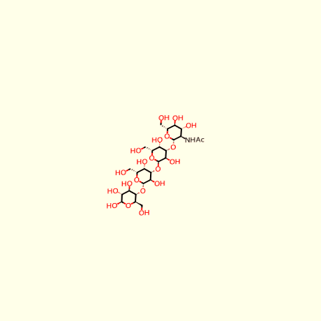 CC(=O)N[C@H]1[C@H](O[C@H]2[C@@H](O)[C@@H](CO)O[C@H](O[C@H]3[C@@H](O)[C@@H](CO)O[C@@H](O[C@H]4[C@H](O)[C@@H](O)[C@H](O)O[C@@H]4CO)[C@@H]3O)[C@@H]2O)O[C@H](CO)[C@@H](O)[C@@H]1O